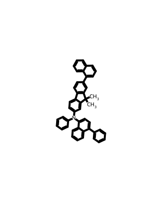 CC1(C)c2cc(-c3cccc4ccccc34)ccc2-c2ccc(N(c3ccccc3)c3ccc(-c4ccccc4)c4ccccc34)cc21